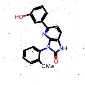 COc1ccccc1-n1c(=O)[nH]c2ccc(-c3cccc(O)c3)nc21